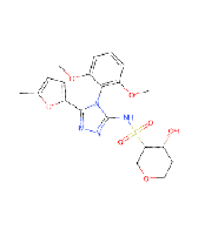 COc1cccc(OC)c1-n1c(NS(=O)(=O)[C@H]2COCC[C@H]2O)nnc1-c1ccc(C)o1